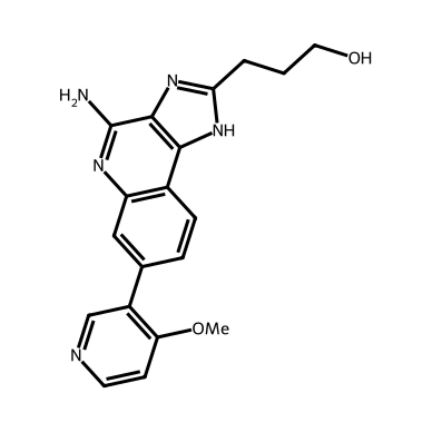 COc1ccncc1-c1ccc2c(c1)nc(N)c1nc(CCCO)[nH]c12